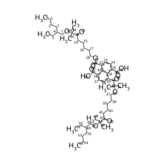 CCCCC(CC)COC(C)(C)C(=O)CCCCCOC(=O)c1ccc(C(=O)O)c2c(C(=O)C(C)(C)OCCCCCC(=O)C(C)(C)OCC(CC)CCCC)ccc(C(=O)O)c12